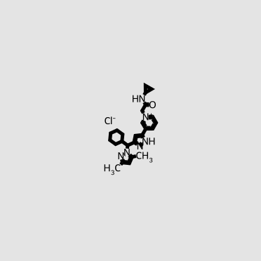 Cc1cc(C)n(C(c2cc(-c3ccc[n+](CC(=O)NC4CC4)c3)[nH]n2)C2CCCCC2)n1.[Cl-]